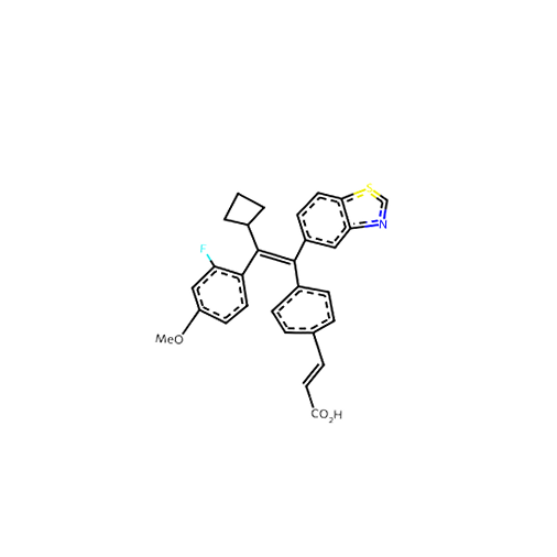 COc1ccc(C(=C(c2ccc(C=CC(=O)O)cc2)c2ccc3scnc3c2)C2CCC2)c(F)c1